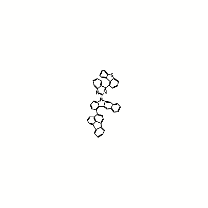 c1ccc2c(c1)-c1cccc3c(-c4cccc5c4c4cc6ccccc6cc4n5-c4nc(-c5cccc6sc7ccccc7c56)c5ccccc5n4)ccc-2c13